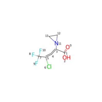 O=C(O)C(=C=C(Cl)C(F)(F)F)N1CC1